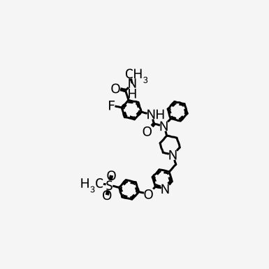 CNC(=O)c1cc(NC(=O)N(c2ccccc2)C2CCN(Cc3ccc(Oc4ccc(S(C)(=O)=O)cc4)nc3)CC2)ccc1F